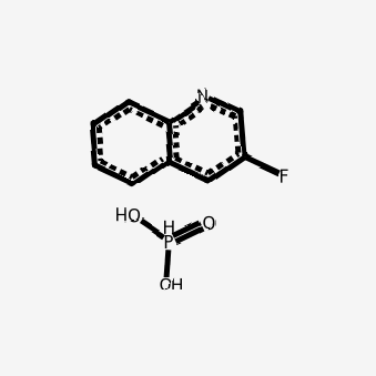 Fc1cnc2ccccc2c1.O=[PH](O)O